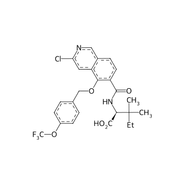 CCC(C)(C)[C@H](NC(=O)c1ccc2cnc(Cl)cc2c1OCc1ccc(OC(F)(F)F)cc1)C(=O)O